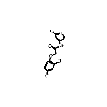 O=C(COc1ccc(Cl)cc1Cl)Nc1ccnc(Cl)c1